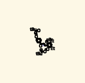 CCCOc1c(CC)cc(CC)c(OCOC(=O)C(C)(C)C)c1/C=C/C(=O)c1ccc(OCOC(=O)C(C)(C)C)cc1